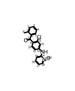 Cc1ccccc1C(=O)c1ccc(Nc2cccc[n+]2[O-])cc1Cl